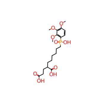 COc1ccc(P(=O)(O)CCCCCCC(CCC(=O)O)C(=O)O)c(OC)c1OC